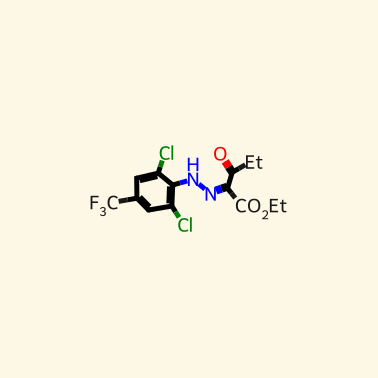 CCOC(=O)C(=NNc1c(Cl)cc(C(F)(F)F)cc1Cl)C(=O)CC